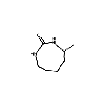 CC1CCCCNC(=O)N1